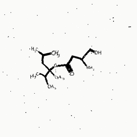 CC(C)CC(C)(OC(=O)CC(N)CO)C(C)C